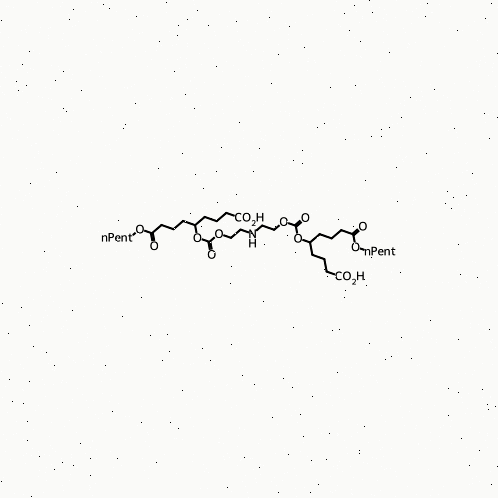 CCCCCOC(=O)CCCC(CCCC(=O)O)OC(=O)OCCNCCOC(=O)OC(CCCC(=O)O)CCCC(=O)OCCCCC